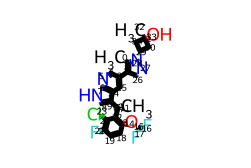 Cc1c(-c2cnc3[nH]cc([C@H](C)c4c(OC(F)F)ccc(F)c4Cl)c3c2)cnn1[C@H]1C[C@@](C)(O)C1